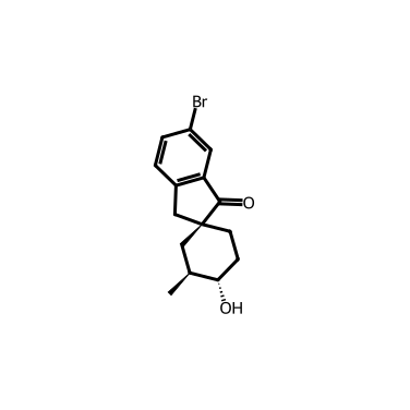 C[C@H]1C[C@@]2(CC[C@@H]1O)Cc1ccc(Br)cc1C2=O